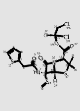 CS[C@@]1(NC(=O)Cc2cccs2)C(=O)N2[C@@H](C(=O)OC(Cl)(Cl)CCl)C(C)(C)S[C@@H]21